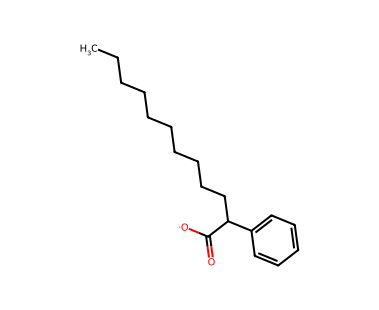 CCCCCCCCCCC(C([O])=O)c1ccccc1